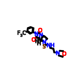 O=C1[C@H]2[C@H]3CC(CN3C(=S)NCCCN3CCOCC3)N2C(=O)N1c1cccc(C(F)(F)F)c1